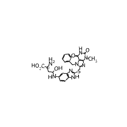 Cn1c(=O)[nH]c(=O)c2c1nc(Sc1nc3cc(NC(O)C[C@H](N)C(=O)O)ccc3[nH]1)n2Cc1ccccc1